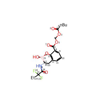 CCCCC(=O)OCOC(=O)c1cccc2c1OB(O)[C@@H](NC(=O)C(F)(F)CC)C2